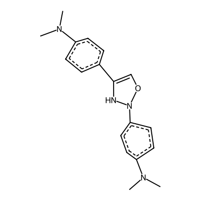 CN(C)c1ccc(C2=CON(c3ccc(N(C)C)cc3)N2)cc1